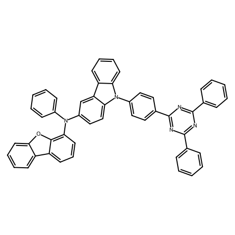 c1ccc(-c2nc(-c3ccccc3)nc(-c3ccc(-n4c5ccccc5c5cc(N(c6ccccc6)c6cccc7c6oc6ccccc67)ccc54)cc3)n2)cc1